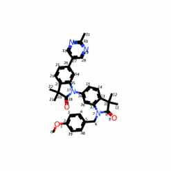 COc1ccc(CN2C(=O)C(C)(C)c3ccc(N4C(=O)C(C)(C)c5ccc(-c6cnc(C)nc6)cc54)cc32)cc1